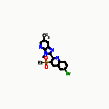 CCS(=O)(=O)c1cc2cc(Br)ccc2nc1-c1nc2cc(C(F)(F)F)cnc2n1C